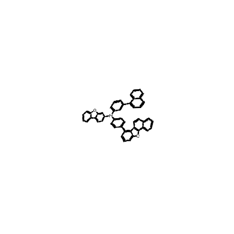 c1cc(-c2cccc3ccccc23)cc(N(c2ccc(-c3cccc4oc5c6ccccc6ccc5c34)cc2)c2ccc3c(c2)oc2ccccc23)c1